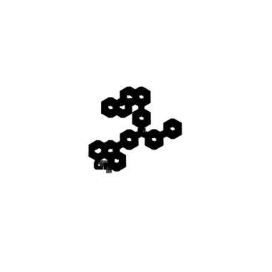 CC1CC=Cc2cc(-c3ccc(N(c4ccc(-c5cccc6ccc7c8ccccc8ccc7c56)cc4)c4cccc(-c5ccccc5)c4)cc3)c3ccccc3c21